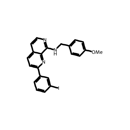 COc1ccc(CNc2nccc3ccc(-c4cccc(I)c4)nc23)cc1